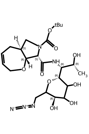 C[C@@H](O)[C@@H](NC(=O)[C@@H]1[C@@H]2OCC=CC[C@H]2CN1C(=O)OC(C)(C)C)[C@H]1OC(CN=[N+]=[N-])[C@H](O)C(O)C1O